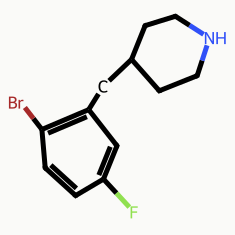 Fc1ccc(Br)c(CC2CCNCC2)c1